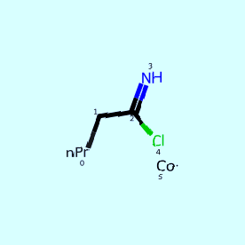 CCCCC(=N)Cl.[Co]